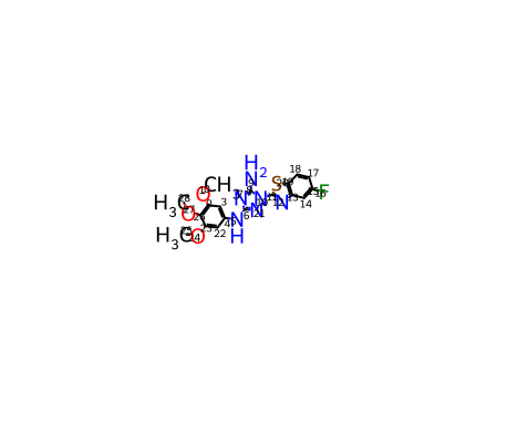 COc1cc(Nc2nc(N)n(-c3nc4cc(F)ccc4s3)n2)cc(OC)c1OC